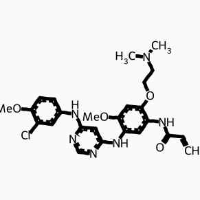 C=CC(=O)Nc1cc(Nc2cc(Nc3ccc(OC)c(Cl)c3)ncn2)c(OC)cc1OCCN(C)C